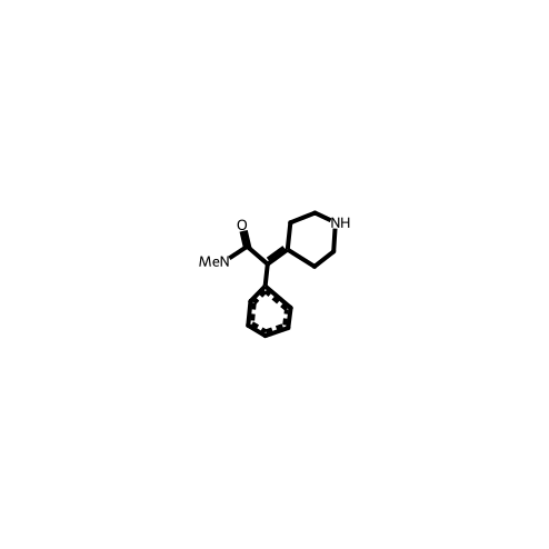 CNC(=O)C(=C1CCNCC1)c1ccccc1